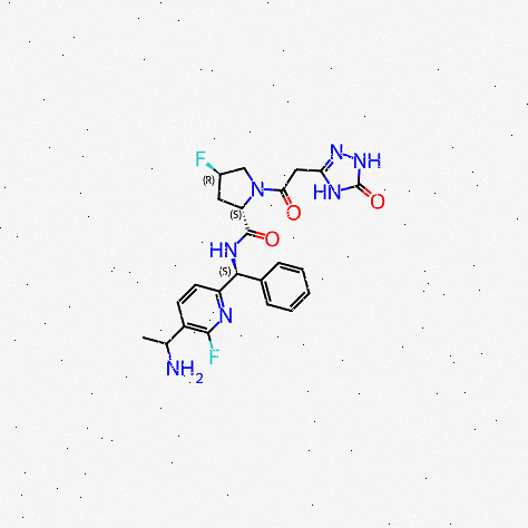 CC(N)c1ccc([C@@H](NC(=O)[C@@H]2C[C@@H](F)CN2C(=O)Cc2n[nH]c(=O)[nH]2)c2ccccc2)nc1F